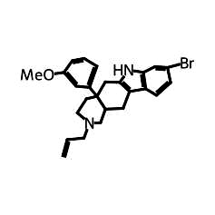 C=CCN1CCC2(c3cccc(OC)c3)Cc3[nH]c4cc(Br)ccc4c3CC2C1